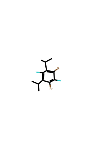 CC(C)c1c(F)c(C(C)C)c(Br)c(F)c1Br